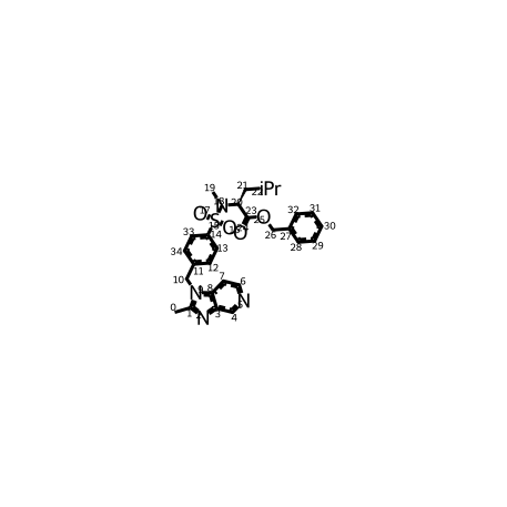 Cc1nc2cnccc2n1Cc1ccc(S(=O)(=O)N(C)[C@@H](CC(C)C)C(=O)OCc2ccccc2)cc1